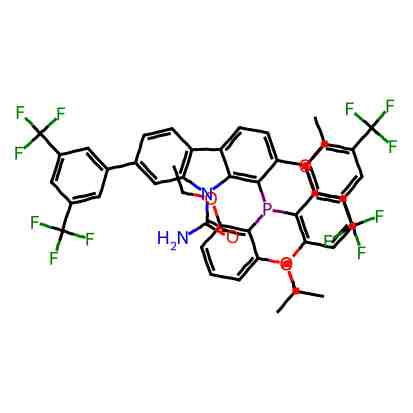 CCOc1cccc(OCC)c1P(c1c(OCC)cccc1OCC)c1c(-c2cc(C(F)(F)F)cc(C(F)(F)F)c2)ccc2c3ccc(-c4cc(C(F)(F)F)cc(C(F)(F)F)c4)cc3n(C(N)=O)c12